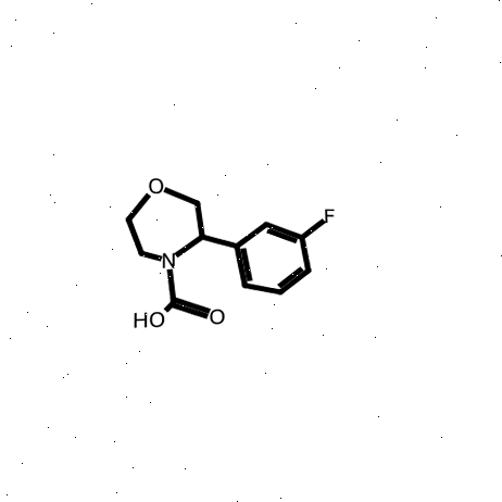 O=C(O)N1CCOCC1c1cccc(F)c1